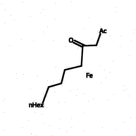 CCCCCCCCCCC(=O)CC(C)=O.[Fe]